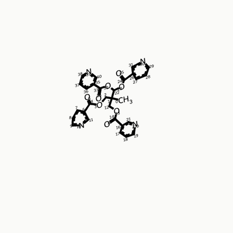 CC(COC(=O)c1cccnc1)(COC(=O)c1cccnc1)C(OC(=O)c1cccnc1)OC(=O)c1cccnc1